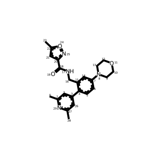 Cc1cc(-c2ccc(N3CCOCC3)cc2CNC(=O)c2cc(C)on2)cc(C)n1